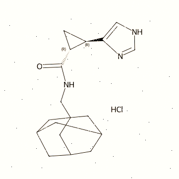 Cl.O=C(NCC12CC3CC(CC(C3)C1)C2)[C@@H]1C[C@H]1c1c[nH]cn1